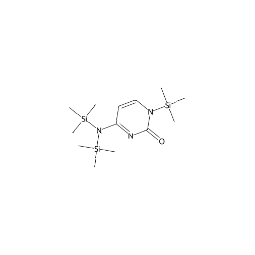 C[Si](C)(C)N(c1ccn([Si](C)(C)C)c(=O)n1)[Si](C)(C)C